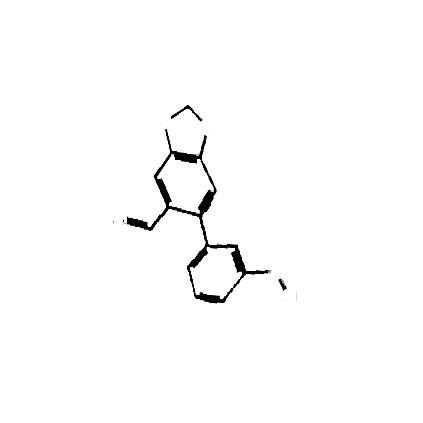 COc1cccc(-c2cc3c(cc2C=O)OCO3)c1